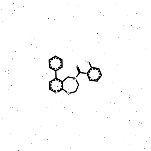 O=C(c1ccccc1C(F)(F)F)N1CCOc2nccc(-c3ccccc3)c2C1